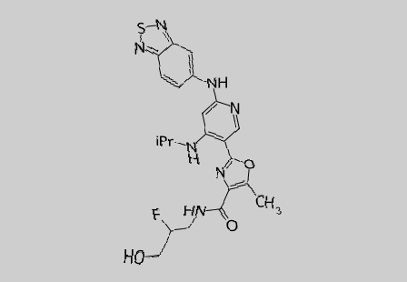 Cc1oc(-c2cnc(Nc3ccc4nsnc4c3)cc2NC(C)C)nc1C(=O)NCC(F)CO